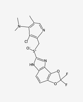 Cc1cnc(C[S+]([O-])c2nc3c4c(ccc3[nH]2)OC(F)(F)O4)c(Cl)c1N(C)C